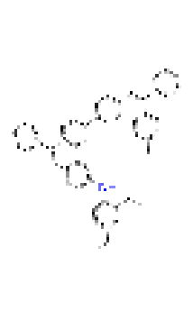 CCc1ccc(Nc2ccc(C=C(c3ccccc3)c3ccc(-c4ccc(C=C(c5ccccc5)c5ccc(C)cc5)cc4)cc3)cc2)c(CC)c1